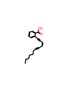 CCCCCCC#C/C=C\C#Cc1ccccc1C(=O)O